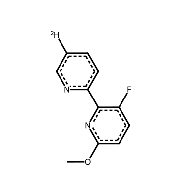 [2H]c1ccc(-c2nc(OC)ccc2F)nc1